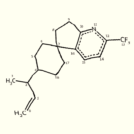 C=CC(C)C1CCC2(CCc3nc(C(F)(F)F)ccc32)CC1